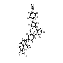 CN1CC2(CCN(c3ccc4c(c3)Cn3cc(-c5ccc(C#N)cc5)cc3-c3nccn3-4)C2=O)C1